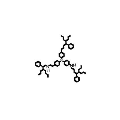 C=C/C=C(\CCC)C(=CC=Cc1ccc(N(c2ccc(C=CN/C=C(C3=C=C=CC=C3)\C(=C\C=C)CCC=C)cc2)c2ccc(NC=C/C=C(C3=C=C=CC=C3)\C(=C\C=C)CCC)cc2)cc1)C1=C=C=CC=C1